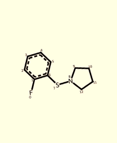 Fc1ccccc1SN1CCCC1